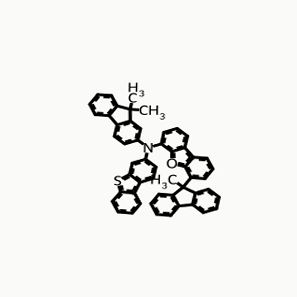 CC1(C)c2ccccc2-c2ccc(N(c3ccc4c(c3)sc3ccccc34)c3cccc4c3oc3c(C5(C)c6ccccc6-c6ccccc65)cccc34)cc21